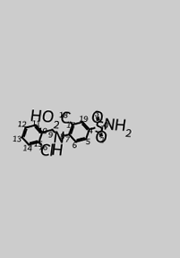 NS(=O)(=O)c1ccc(NCc2ccccc2Cl)c(C(=O)O)c1